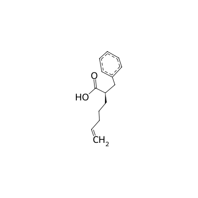 C=CCCC[C@H](Cc1ccccc1)C(=O)O